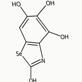 Oc1nc2c(O)c(O)c(O)cc2[se]1